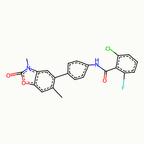 Cc1cc2oc(=O)n(C)c2cc1-c1ccc(NC(=O)c2c(F)cccc2Cl)cc1